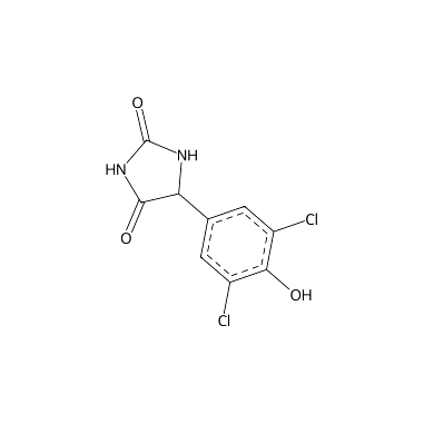 O=C1NC(=O)C(c2cc(Cl)c(O)c(Cl)c2)N1